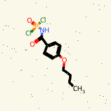 CCCCOc1ccc(C(=O)NP(=O)(Cl)Cl)cc1